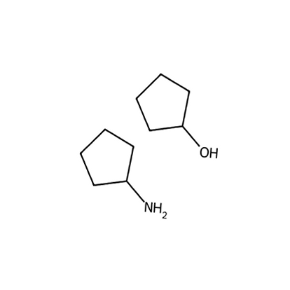 NC1CCCC1.OC1CCCC1